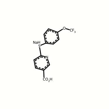 O=C(O)c1ccc(Sc2ccc(OC(F)(F)F)cc2)nc1.[NaH]